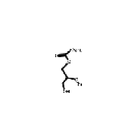 CCCCCC(=O)OCC(CO)OCC